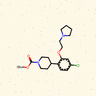 CC(C)(C)OC(=O)N1CCC(c2ccc(Cl)cc2OCCN2CCCC2)CC1